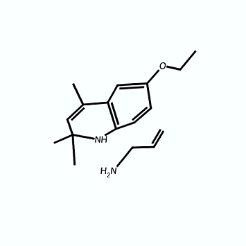 C=CCN.CCOc1ccc2c(c1)C(C)=CC(C)(C)N2